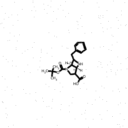 CC(C)(C)OC(=O)N1CC(C(=O)O)[C@@H]2NC(Cc3ccccc3)[C@@H]21